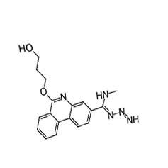 CN/C(=N\N=N)c1ccc2c(c1)nc(OCCCO)c1ccccc12